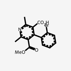 COC(=O)c1c(C)nc(C)c(C(=O)O)c1-c1ccccc1Br